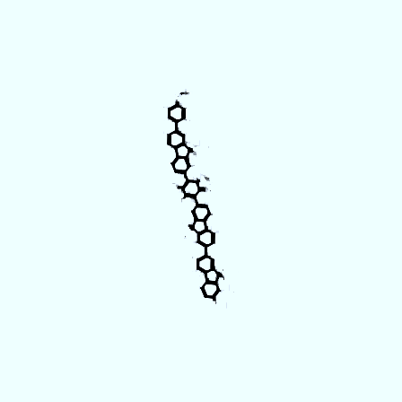 Cc1ccc2c(c1)C(C)(C)c1cc(-c3ccc4c(c3)C(C)(C)c3cc(-c5c(F)c(F)c(-c6ccc7c(c6)C(C)(C)c6cc(-c8ccc(SC(C)C)cc8)ccc6-7)c6nsnc56)ccc3-4)ccc1-2